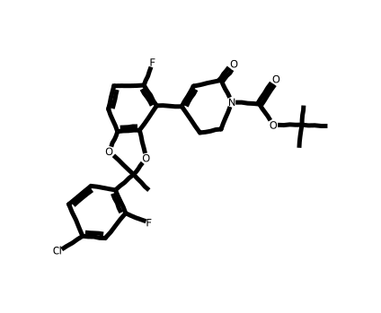 CC(C)(C)OC(=O)N1CCC(c2c(F)ccc3c2OC(C)(c2ccc(Cl)cc2F)O3)=CC1=O